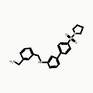 NCc1cccc(CNc2cccc(-c3ccc(S(=O)(=O)N4CCCC4)cc3)c2)c1